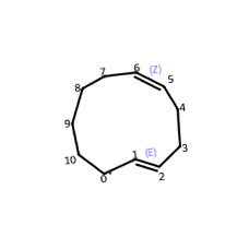 [CH]1/C=C/CC/C=C\CCCC1